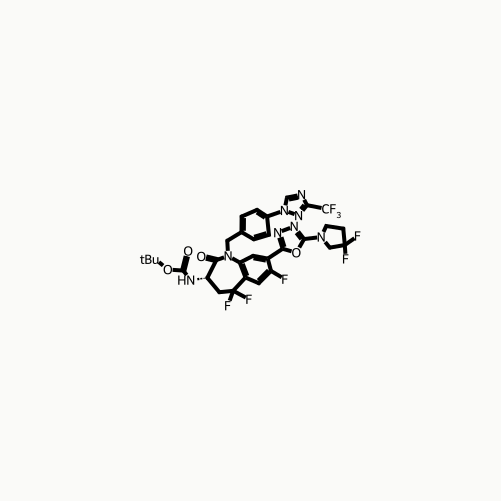 CC(C)(C)OC(=O)N[C@H]1CC(F)(F)c2cc(F)c(-c3nnc(N4CCC(F)(F)C4)o3)cc2N(Cc2ccc(-n3cnc(C(F)(F)F)n3)cc2)C1=O